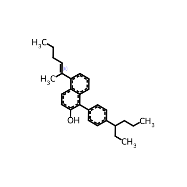 CCC/C=C(\C)c1cccc2c(-c3ccc(C(CC)CCC)cc3)c(O)ccc12